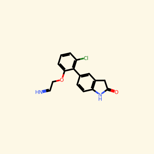 N=CCOc1cccc(Cl)c1-c1ccc2c(c1)CC(=O)N2